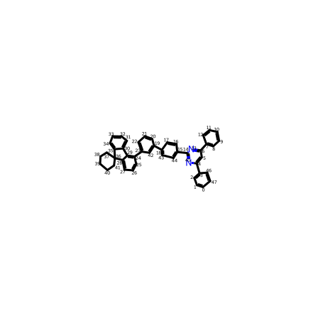 c1ccc(-c2cc(-c3ccccc3)nc(-c3ccc(-c4cccc(-c5cccc6c5-c5ccccc5C65CCCCC5)c4)cc3)n2)cc1